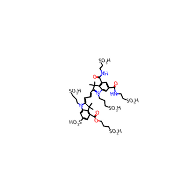 CC1(C)C(/C=C/C=C2/N(CCCS(=O)(=O)O)c3cc(S(=O)(=O)O)cc(C(=O)OCCCS(=O)(=O)O)c3C2(C)C)=[N+](CCCS(=O)(=O)O)c2cc(C(=O)NCCS(=O)(=O)O)cc(C(=O)NCCS(=O)(=O)O)c21